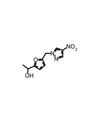 CC(O)c1ccc(Cn2cc([N+](=O)[O-])cn2)o1